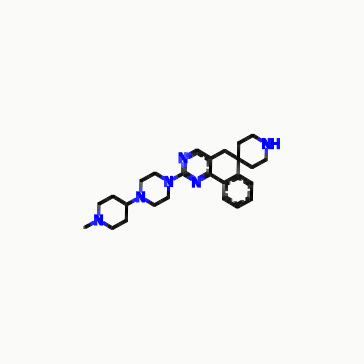 CN1CCC(N2CCN(c3ncc4c(n3)-c3ccccc3C3(CCNCC3)C4)CC2)CC1